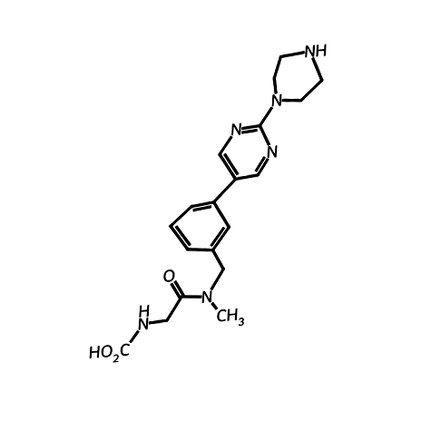 CN(Cc1cccc(-c2cnc(N3CCNCC3)nc2)c1)C(=O)CNC(=O)O